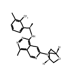 Cc1cccc([C@@H](C)Nc2nnc(C)c3cnc(N4C[C@H]5C[C@@H]4CO5)cc23)c1C(F)(F)F